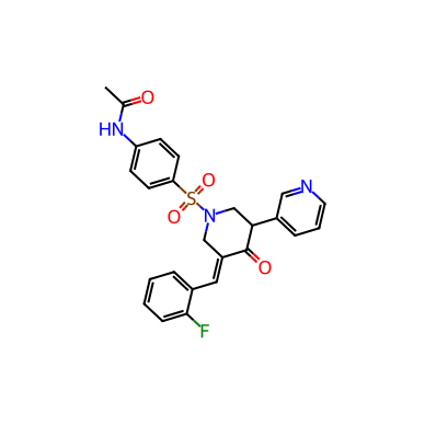 CC(=O)Nc1ccc(S(=O)(=O)N2CC(=Cc3ccccc3F)C(=O)C(c3cccnc3)C2)cc1